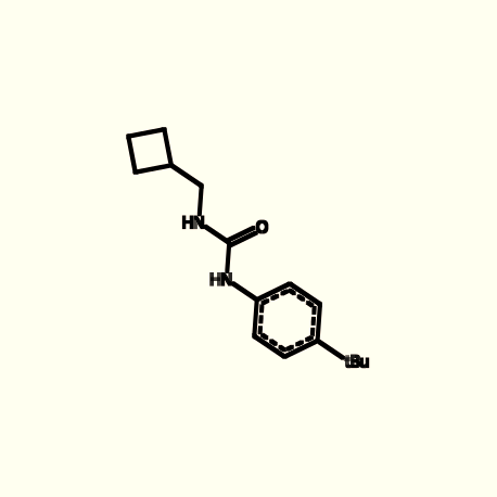 CC(C)(C)c1ccc(NC(=O)NCC2CCC2)cc1